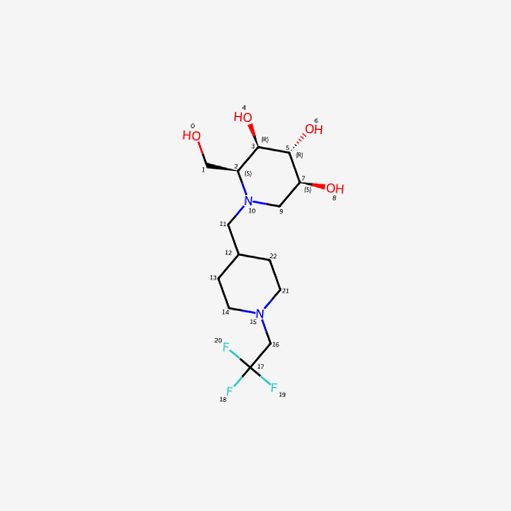 OC[C@H]1[C@@H](O)[C@H](O)[C@@H](O)CN1CC1CCN(CC(F)(F)F)CC1